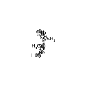 CCCc1c(OCCCOc2cc3ccn(CC(=O)O)c3cc2OC)ccc2c(C(F)(F)F)noc12